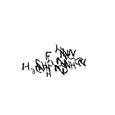 CN(C)CCNc1cc(F)cc(-c2nccc3[nH]c(-c4n[nH]c5ncc(-c6ccncc6)cc45)nc23)c1